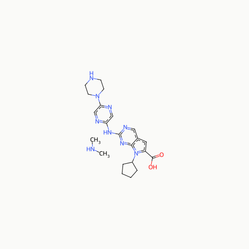 CNC.O=C(O)c1cc2cnc(Nc3cnc(N4CCNCC4)cn3)nc2n1C1CCCC1